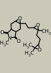 CN1C(=O)C2CC3OC3(CCC3OC3(C)CCC3OC3(C)C)CC2C1=O